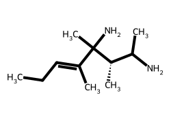 CC/C=C(\C)C(C)(N)[C@@H](C)C(C)N